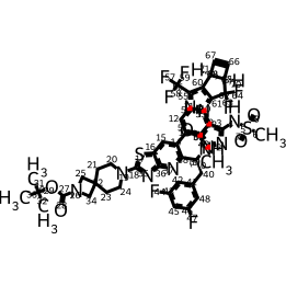 Cn1nc(NS(C)(=O)=O)c2cccc(-c3cc4sc(N5CCC6(CC5)CN(C(=O)OC(C)(C)C)C6)nc4nc3[C@H](Cc3cc(F)cc(F)c3)NC(=O)Cn3nc(C(F)(F)F)c4c3C(F)(F)[C@@H]3C#C[C@H]43)c21